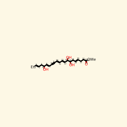 CCC=CCC(O)C=CC#CC=CC=CC(O)C(O)CC=CCCC(=O)OC